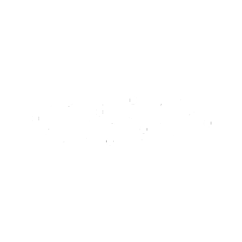 O=C(OC1CCC2OC2C1)C(=O)OC1CCC2OC2C1